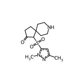 Cc1cc(S(=O)(=O)C2C(=O)CCC23CCNCC3)n(C)n1